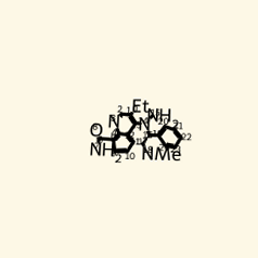 CCc1cnc2c(C(N)=O)cccc2c1N(N)[C@H](CNC)c1ccccc1